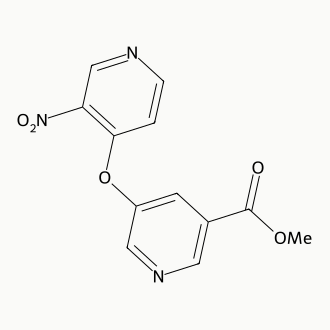 COC(=O)c1cncc(Oc2ccncc2[N+](=O)[O-])c1